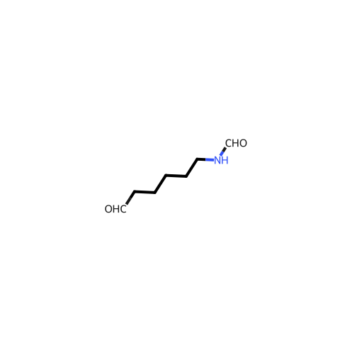 O=CCCCCCNC=O